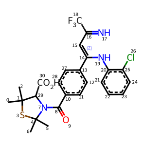 CC1(C)SC(C)(C)N(C(=O)c2ccc(/C(=C/C(=N)C(F)(F)F)Nc3ccccc3Cl)cc2)C1C(=O)O